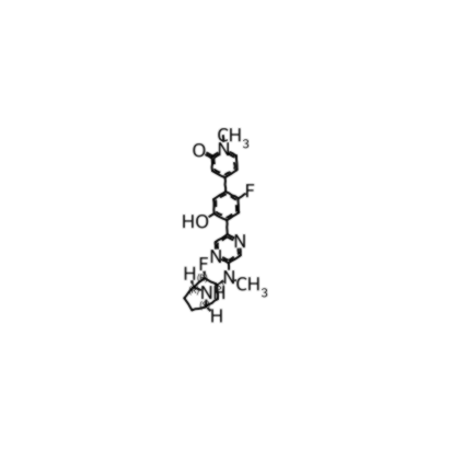 CN(c1cnc(-c2cc(F)c(-c3ccn(C)c(=O)c3)cc2O)cn1)[C@H]1C[C@@H]2CC[C@@H](N2)[C@H]1F